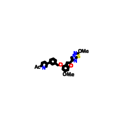 COc1cc(OCc2cccc(-c3ccc(C(C)=O)nc3)c2)c2cc(-c3cn4nc(OC)sc4n3)oc2c1